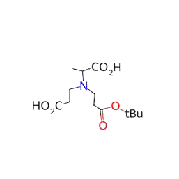 CC(C(=O)O)N(CCC(=O)O)CCC(=O)OC(C)(C)C